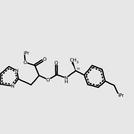 CC(C)Cc1ccc([C@H](C)NC(=O)OC(Cc2ncccn2)C(=O)OC(C)C)cc1